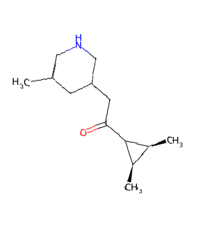 CC1CNCC(CC(=O)C2[C@@H](C)[C@H]2C)C1